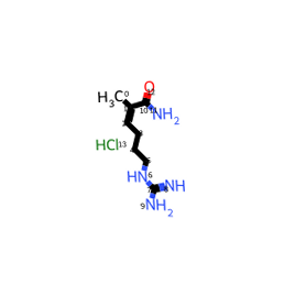 CC(=CCCCNC(=N)N)C(N)=O.Cl